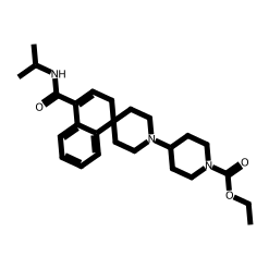 CCOC(=O)N1CCC(N2CCC3(CC=C(C(=O)NC(C)C)c4ccccc43)CC2)CC1